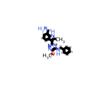 COc1nnc(-c2c(C)[nH]c3c(CN)cccc23)nc1NCc1ccccc1